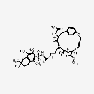 COC(=O)[C@H]1CC=CCOc2ccc(cc2)C[C@H](NC(C)=O)C(=O)N[C@H](CCCNC(=N)NS(=O)(=O)c2c(C)c(C)c3c(c2C)CCC(C)(C)O3)C(=O)N1